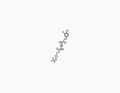 O=C(COc1ccc(Cl)c(F)c1)NC12CC(NC(=O)OCC3CC(OC(F)(F)F)C3)(C1)C2